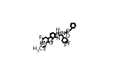 CC(F)(F)CNC(=O)C(CC(F)F)c1ccc2[nH]c(C(NC(=O)OCc3ccccc3)C3CCC(F)(F)CC3)nc2c1F